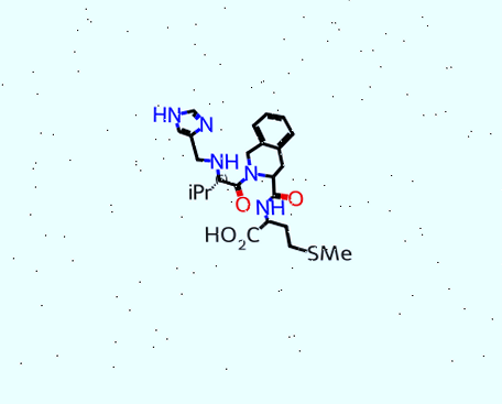 CSCCC(NC(=O)C1Cc2ccccc2CN1C(=O)[C@@H](NCc1c[nH]cn1)C(C)C)C(=O)O